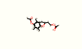 CC(=O)OCCC1Cc2c(C)c(OC(C)=O)c(C)c(C)c2O1